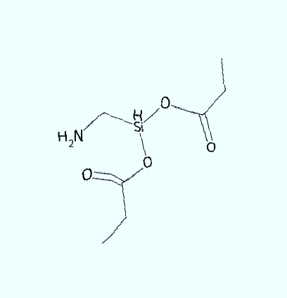 CCC(=O)O[SiH](CN)OC(=O)CC